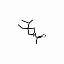 CCC1(C(C)C)CN(C(C)=O)C1